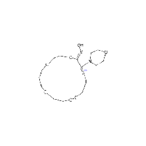 ON=C1CCCCCCCCCCCCCC/C=C\1N1CCOCC1